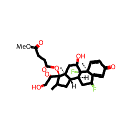 COC(=O)CCC(=O)O[C@]1(C(=O)CO)C(C)C[C@H]2[C@@H]3CC(F)C4=CC(=O)C=C[C@]4(C)[C@@]3(F)C(O)C[C@@]21C